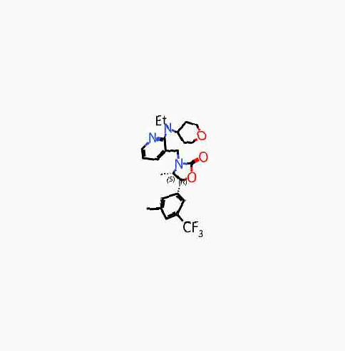 CCN(c1ncccc1CN1C(=O)O[C@H](c2cc(C)cc(C(F)(F)F)c2)[C@@H]1C)C1CCOCC1